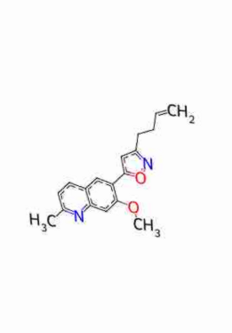 C=CCCc1cc(-c2cc3ccc(C)nc3cc2OC)on1